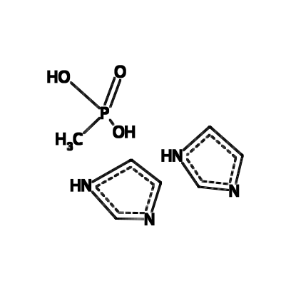 CP(=O)(O)O.c1c[nH]cn1.c1c[nH]cn1